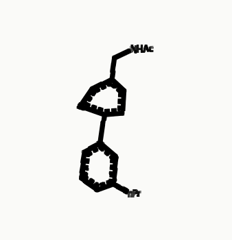 CCCc1cccc(-c2ccc(CNC(C)=O)cc2)c1